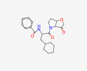 O=C(NC(CC1CCCCC1)C(=O)N1CCC2OCC(=O)C21)c1ccccc1